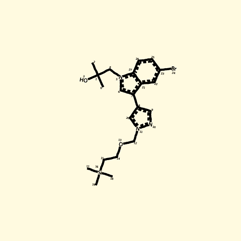 CC(C)(O)Cn1cc(-c2cnn(COCC[Si](C)(C)C)c2)c2cc(Br)ccc21